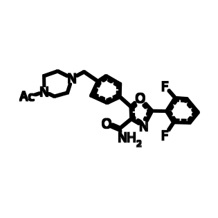 CC(=O)N1CCN(Cc2ccc(-c3oc(-c4c(F)cccc4F)nc3C(N)=O)cc2)CC1